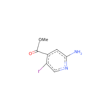 COC(=O)c1cc(N)ncc1I